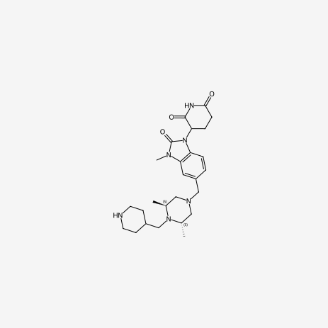 C[C@H]1CN(Cc2ccc3c(c2)n(C)c(=O)n3C2CCC(=O)NC2=O)C[C@H](C)N1CC1CCNCC1